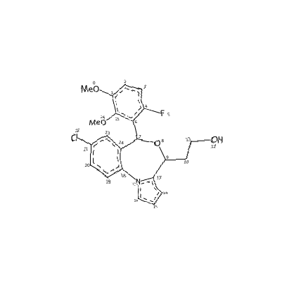 COc1ccc(F)c(C2OC(CCO)c3cccn3-c3ccc(Cl)cc32)c1OC